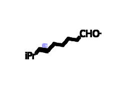 CC(C)/C=C/CCCC[C]=O